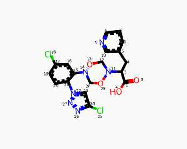 O=C(O)C(Cc1cccnc1)N1CON(c2cc(Cl)ccc2-n2cc(Cl)nn2)CO1